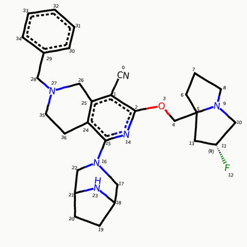 N#Cc1c(OCC23CCCN2C[C@H](F)C3)nc(N2CC3CCC(C2)N3)c2c1CN(Cc1ccccc1)CC2